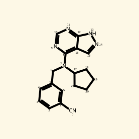 N#Cc1cccc(CN(c2ncnc3[nH]ncc23)C2CCCC2)c1